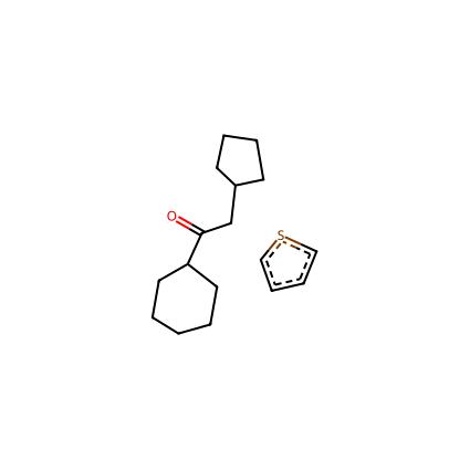 O=C(CC1CCCC1)C1CCCCC1.c1ccsc1